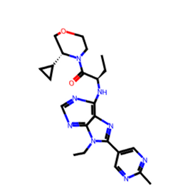 CC[C@@H](Nc1ncnc2c1nc(-c1cnc(C)nc1)n2CC)C(=O)N1CCOC[C@H]1C1CC1